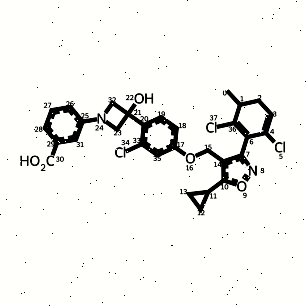 CC1CC=C(Cl)C(c2noc(C3CC3)c2COc2ccc(C3(O)CN(c4cccc(C(=O)O)c4)C3)c(Cl)c2)=C1Cl